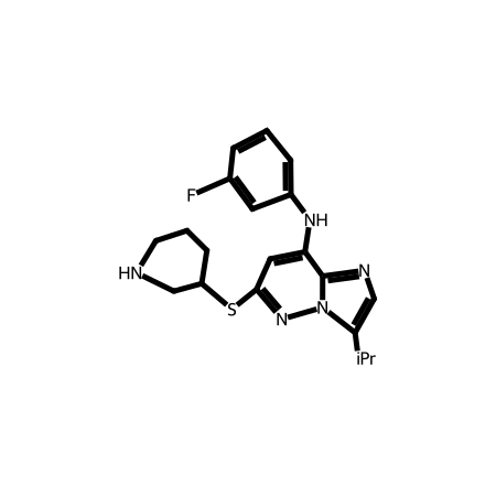 CC(C)c1cnc2c(Nc3cccc(F)c3)cc(SC3CCCNC3)nn12